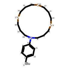 CC(C)(C)c1ccc(N2CCCSCCCSCCCSCCC2)cc1